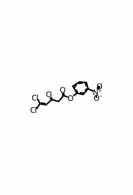 O=C(C=C(Cl)Cl)CC(=O)Oc1cccc([N+](=O)[O-])c1